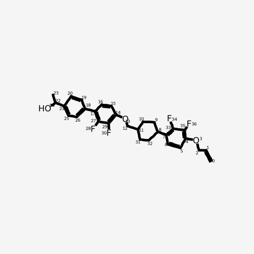 C=CCOc1ccc(C2CCC(COc3ccc(-c4ccc(C(C)O)cc4)c(F)c3F)CC2)c(F)c1F